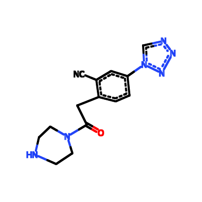 N#Cc1cc(-n2cnnn2)ccc1CC(=O)N1CCNCC1